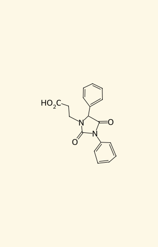 O=C(O)CCN1C(=O)N(c2ccccc2)C(=O)C1c1ccccc1